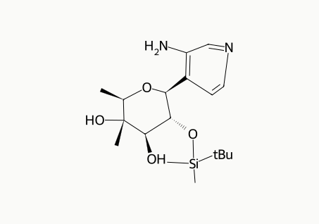 C[C@H]1O[C@@H](c2ccncc2N)[C@H](O[Si](C)(C)C(C)(C)C)[C@@H](O)[C@]1(C)O